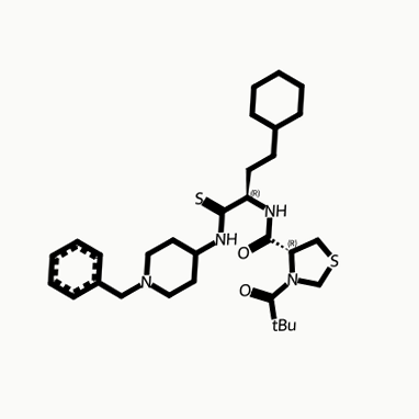 CC(C)(C)C(=O)N1CSC[C@H]1C(=O)N[C@H](CCC1CCCCC1)C(=S)NC1CCN(Cc2ccccc2)CC1